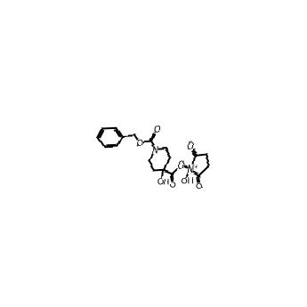 O=C(OCc1ccccc1)N1CCC(O)(C(=O)O[N+]2(O)C(=O)CCC2=O)CC1